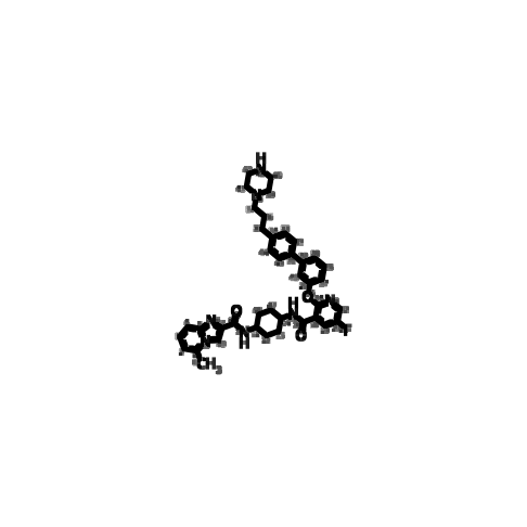 Cc1cccc2nc(C(=O)NC3CCC(NC(=O)c4cc(F)cnc4Oc4cccc(-c5ccc(CCCN6CCNCC6)cc5)c4)CC3)cn12